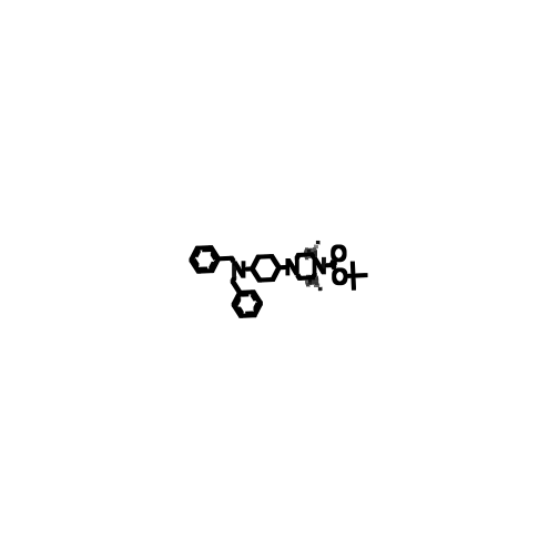 C[C@@H]1CN(C2CCC(N(Cc3ccccc3)Cc3ccccc3)CC2)C[C@H](C)N1C(=O)OC(C)(C)C